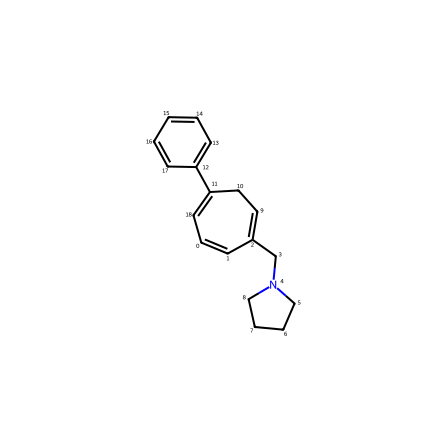 C1=CC(CN2CCCC2)=CCC(c2ccccc2)=C1